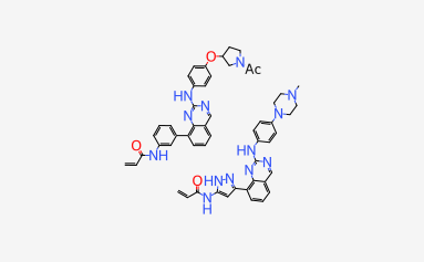 C=CC(=O)Nc1cc(-c2cccc3cnc(Nc4ccc(N5CCN(C)CC5)cc4)nc23)n[nH]1.C=CC(=O)Nc1cccc(-c2cccc3cnc(Nc4ccc(OC5CCN(C(C)=O)C5)cc4)nc23)c1